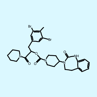 Cc1c(Br)cc(CC(OC(=O)N2CCC(N3CCc4ccccc4NC3=O)CC2)C(=O)N2CCCCC2)cc1Br